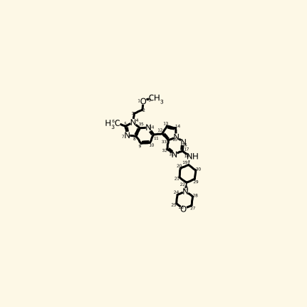 COCCn1c(C)nc2ccc(-c3ccn4nc(N[C@H]5CC[C@H](N6CCOCC6)CC5)ncc34)nc21